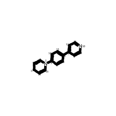 C1=CN(c2ccc(-c3ccncc3)cc2)C=CC1